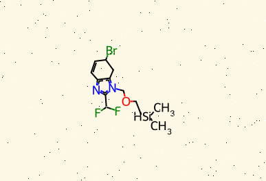 C[SiH](C)CCOCn1c(C(F)F)nc2c1CC(Br)C=C2